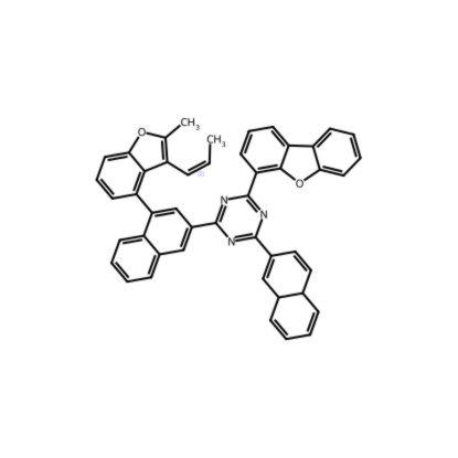 C/C=C\c1c(C)oc2cccc(-c3cc(-c4nc(C5=CC6C=CC=CC6C=C5)nc(-c5cccc6c5oc5ccccc56)n4)cc4ccccc34)c12